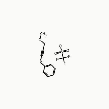 COCC#C[I+]c1ccccc1.O=S(=O)([O-])C(F)(F)F